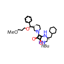 CCCCNC[C@H](CC1CCCCC1)Nc1c(N2CCC[C@@H]([C@@H](OCCCOC)c3ccccc3)C2)c(=O)c1=O